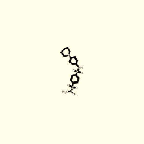 CN(C)S(=O)(=O)c1ccc(S(=O)(=O)Nc2ccc(N3CCCCC3)cc2)cc1